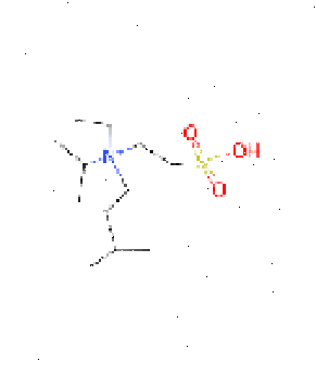 CC[N+](CCC(C)C)(CCS(=O)(=O)O)C(C)C